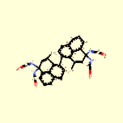 CC1=CC(N=C=O)(N=C=O)c2cccc3ccc(-c4ccc5cccc6c5c4C(C)=CC6(N=C=O)N=C=O)c1c23